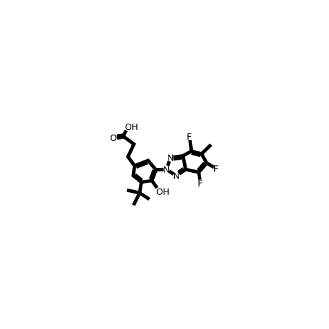 Cc1c(F)c(F)c2nn(-c3cc(CCC(=O)O)cc(C(C)(C)C)c3O)nc2c1F